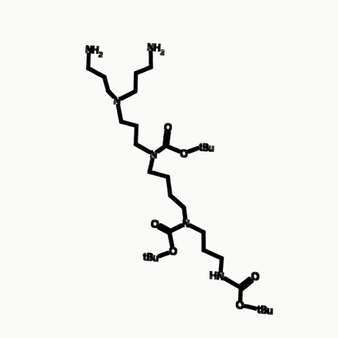 CC(C)(C)OC(=O)NCCCN(CCCCN(CCCN(CCCN)CCCN)C(=O)OC(C)(C)C)C(=O)OC(C)(C)C